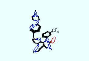 CN1CCN(c2ccc(-c3ccc4ncc5c(c4n3)N(c3cccc(C(F)(F)F)c3)C(=O)N(C)C5)cn2)CC1